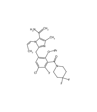 C=C(N)c1c(C)nc(Cc2cc(Cl)c(F)c(C(=O)N3CCC(F)(F)CC3)c2OC(C)C)n1/C=C\C